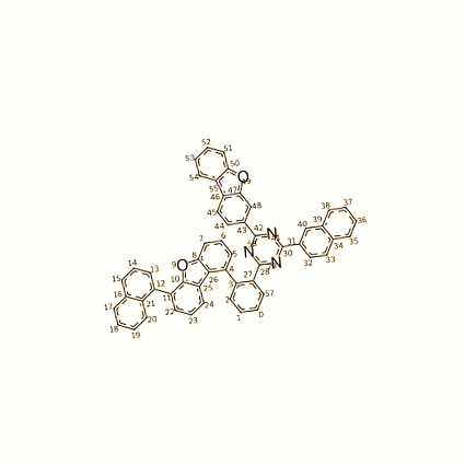 c1ccc(-c2cccc3oc4c(-c5cccc6ccccc56)cccc4c23)c(-c2nc(-c3ccc4ccccc4c3)nc(-c3ccc4c(c3)oc3ccccc34)n2)c1